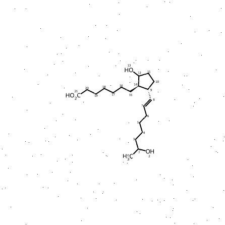 CC(O)CCCC/C=C/[C@H]1CCC(O)[C@@H]1CCCCCCC(=O)O